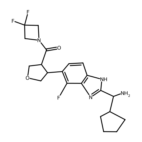 NC(c1nc2c(F)c(C3COCC3C(=O)N3CC(F)(F)C3)ccc2[nH]1)C1CCCC1